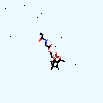 C=CC(=O)NCC(=O)OCCOC1(C)C2(C)CC3C(C2C)C1(C)OS3(=O)=O